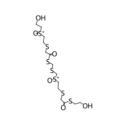 O=C(CSCC[S+]([O-])CSCSC(=O)CSCC[S+]([O-])CCO)SCCO